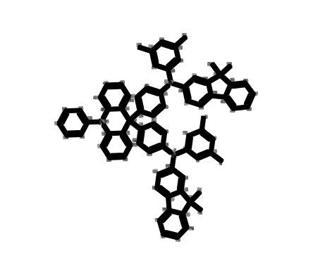 Cc1cc(C)cc(N(c2ccc(C3(c4ccc(N(c5cc(C)cc(C)c5)c5ccc6c(c5)C(C)(C)c5ccccc5-6)cc4)c4ccccc4N(c4ccccc4)c4ccccc43)cc2)c2ccc3c(c2)C(C)(C)c2ccccc2-3)c1